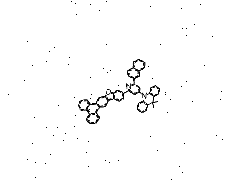 CC1(C)c2ccccc2N(c2cc(-c3ccc4ccccc4c3)nc(-c3ccc4c(c3)oc3cc5c6ccccc6c6ccccc6c5cc34)c2)c2ccccc21